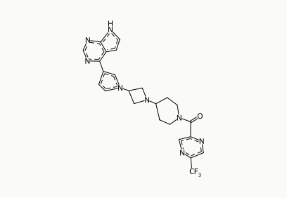 O=C(c1cnc(C(F)(F)F)cn1)N1CCC(N2CC(n3ccc(-c4ncnc5[nH]ccc45)c3)C2)CC1